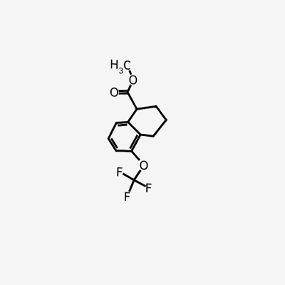 COC(=O)C1CCCc2c(OC(F)(F)F)cccc21